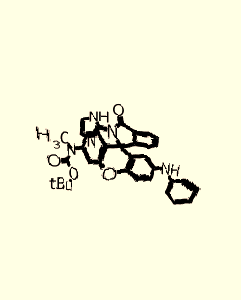 CN(C(=O)OC(C)(C)C)c1ccc2c(c1)Oc1ccc(Nc3ccccc3)cc1C21c2ccccc2C(=O)N1c1ncc[nH]1